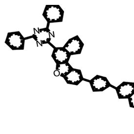 c1ccc(-c2nc(-c3ccccc3)nc(-c3cc4oc5ccc(-c6ccc(-c7ccc8ccccc8c7)cc6)cc5c4c4ccccc34)n2)cc1